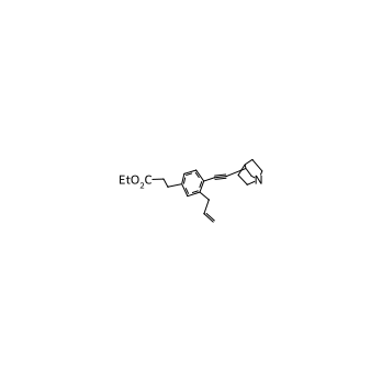 C=CCc1cc(CCC(=O)OCC)ccc1C#CC1CN2CCC1CC2